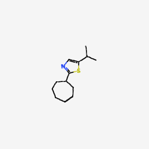 CC(C)c1cnc(C2CCCCCC2)s1